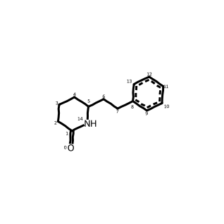 O=C1CCCC(CCc2ccccc2)N1